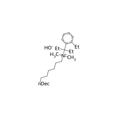 CCCCCCCCCCCCCCCC[N+](C)(C)C(CC)(CC)c1ccccc1CC.[OH-]